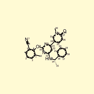 Cc1cccc(C#N)c1Oc1nc(N[C@@H](C)c2ccccc2)cc(-c2ccc(=O)n(C)c2)n1